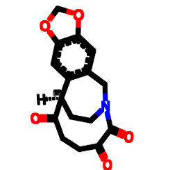 O=C1CCC(=O)[C@@H]2CCN(Cc3cc4c(cc32)OCO4)C1=O